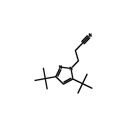 CC(C)(C)c1cc(C(C)(C)C)n(CCC#N)n1